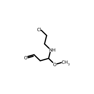 COC(CC=O)NCCCl